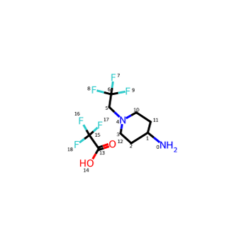 NC1CCN(CC(F)(F)F)CC1.O=C(O)C(F)(F)F